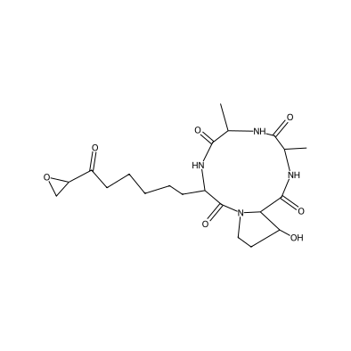 CC1NC(=O)C(C)NC(=O)C2C(O)CCN2C(=O)C(CCCCCC(=O)C2CO2)NC1=O